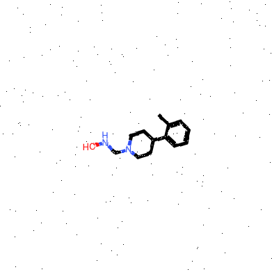 Cc1ccccc1C1CCN(CNO)CC1